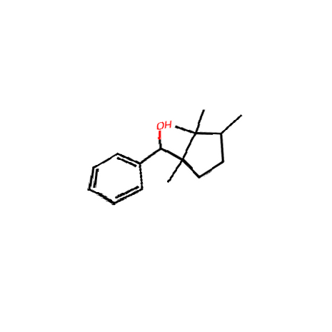 CC1CCC(C)(C(O)c2ccccc2)C1(C)C